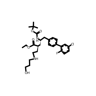 CCOC(=O)[C@H](CCNCCCO)C[C@@H](Cc1ccc(-c2cc(Cl)ccc2F)cc1)NC(=O)OC(C)(C)C